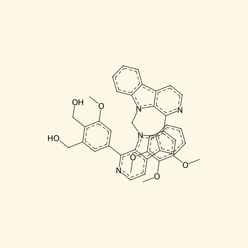 COc1cc(-c2nccc3c4ccccc4n(Cn4c5ccccc5c5ccnc(-c6cc(OC)c(OC)c(OC)c6)c54)c23)cc(CO)c1CO